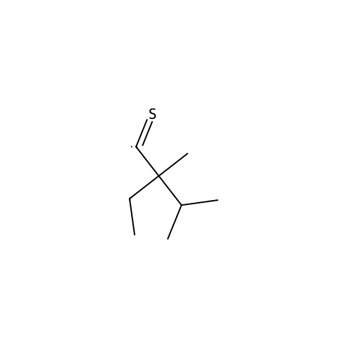 CCC(C)([C]=S)C(C)C